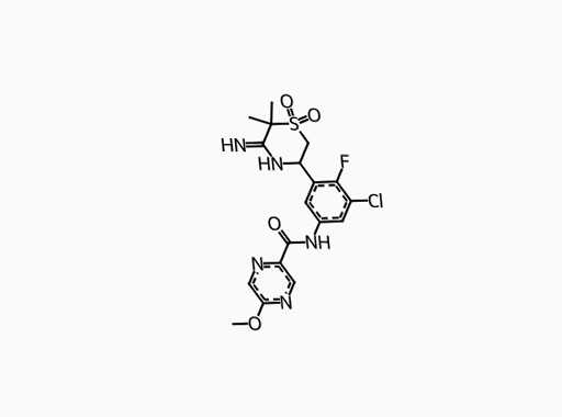 COc1cnc(C(=O)Nc2cc(Cl)c(F)c(C3CS(=O)(=O)C(C)(C)C(=N)N3)c2)cn1